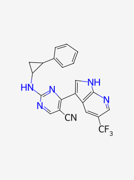 N#Cc1cnc(NC2CC2c2ccccc2)nc1-c1c[nH]c2ncc(C(F)(F)F)cc12